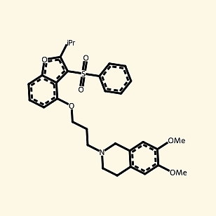 COc1cc2c(cc1OC)CN(CCCOc1cccc3oc(C(C)C)c(S(=O)(=O)c4ccccc4)c13)CC2